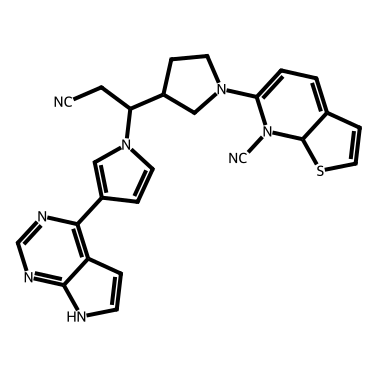 N#CCC(C1CCN(C2=CC=C3C=CSC3N2C#N)C1)n1ccc(-c2ncnc3[nH]ccc23)c1